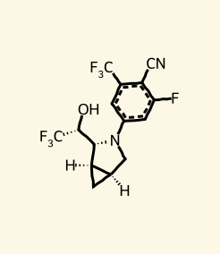 N#Cc1c(F)cc(N2C[C@H]3C[C@H]3[C@@H]2[C@@H](O)C(F)(F)F)cc1C(F)(F)F